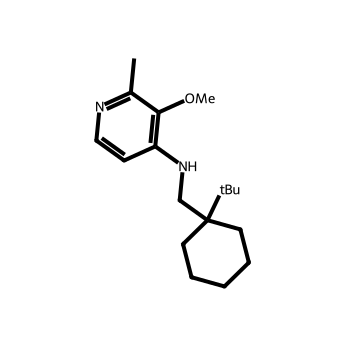 COc1c(NCC2(C(C)(C)C)CCCCC2)ccnc1C